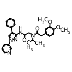 COc1ccc(CC(=O)N(CC(=O)Nc2nn(-c3cccnc3)cc2-c2ccccc2)C(C)C)cc1OC